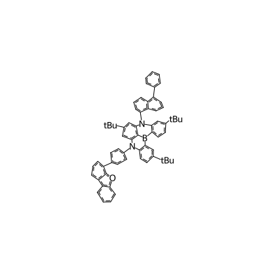 CC(C)(C)c1ccc2c(c1)B1c3ccc(C(C)(C)C)cc3N(c3cccc4c(-c5ccccc5)cccc34)c3cc(C(C)(C)C)cc(c31)N2c1ccc(-c2cccc3c2oc2ccccc23)cc1